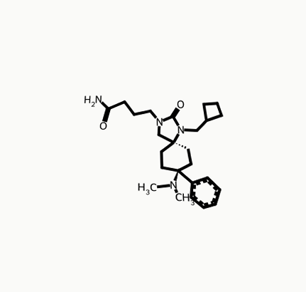 CN(C)[C@]1(c2ccccc2)CC[C@]2(CC1)CN(CCCC(N)=O)C(=O)N2CC1CCC1